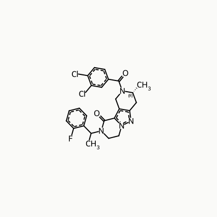 CC(c1ccccc1F)N1CCn2nc3c(c2C1=O)CN(C(=O)c1ccc(Cl)c(Cl)c1)[C@H](C)C3